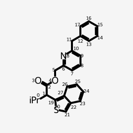 CC(C)C(C(=O)OCc1cccc(Cc2ccccc2)n1)c1scc2ccccc12